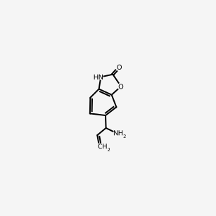 C=CC(N)c1ccc2[nH]c(=O)oc2c1